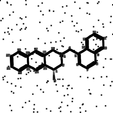 C[C@H]1CN(Cc2cccc3ccccc23)Cc2cc3ccccc3cc21